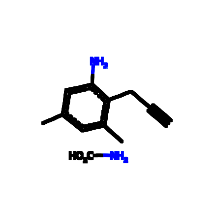 C#CCc1c(C)cc(C)cc1N.NC(=O)O